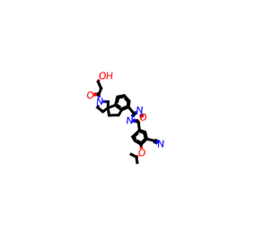 CC(C)Oc1ccc(-c2nc(-c3cccc4c3CCC43CCN(C(=O)CCO)C3)no2)cc1C#N